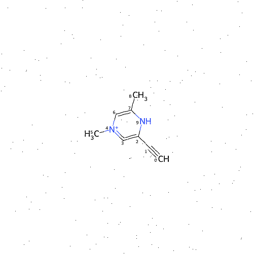 C#CC1=C=[N+](C)C=C(C)N1